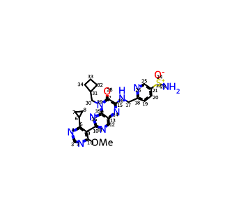 COc1ncnc(C2CC2)c1-c1ncc2nc(NCc3ccc([S+](N)[O-])cn3)c(=O)n(CC3CCC3)c2n1